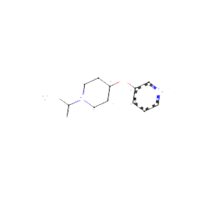 CSC(C)N1CCC(Oc2cccnc2)CC1